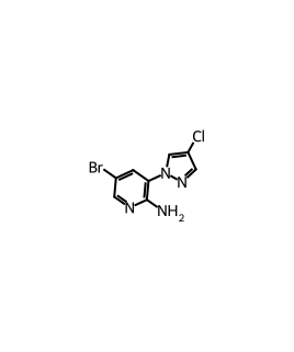 Nc1ncc(Br)cc1-n1cc(Cl)cn1